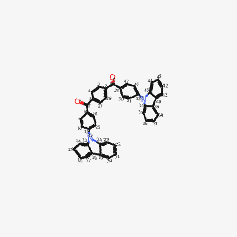 O=C(c1ccc(C(=O)c2ccc(-n3c4ccccc4c4ccccc43)cc2)cc1)c1ccc(-n2c3ccccc3c3ccccc32)cc1